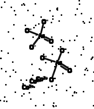 O=[As]([O-])([O-])[O-].O=[As]([O-])([O-])[O-].[Co+2].[Co+2].[Co+2]